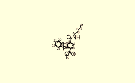 CCCCCNC(=O)c1ccc(C(=O)OC)c(Pc2ccccc2)c1